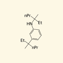 CCCC(C)(CC)Nc1cccc(C(C)(CC)CCC)c1